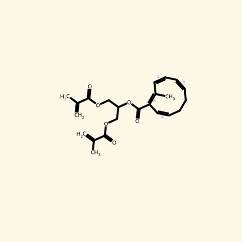 C=C(C)C(=O)OCC(COC(=O)C(=C)C)OC(=O)C1=C(C)\C=C/C=C\CC/C=C\1